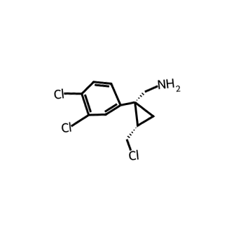 NC[C@]1(c2ccc(Cl)c(Cl)c2)C[C@@H]1CCl